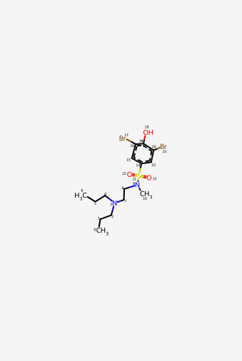 CCCN(CCC)CCN(C)S(=O)(=O)c1cc(Br)c(O)c(Br)c1